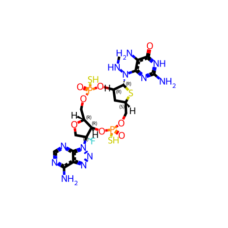 CNN(c1nc(N)[nH]c(=O)c1N)[C@@H]1S[C@@H]2COP(=O)(S)O[C@@H]3[C@@H](COP(=O)(S)O[C@@H]1C2)OC[C@]3(F)n1nnc2c(N)ncnc21